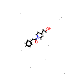 O=C(Cc1ccccc1)N1CCC(CCO)CC1